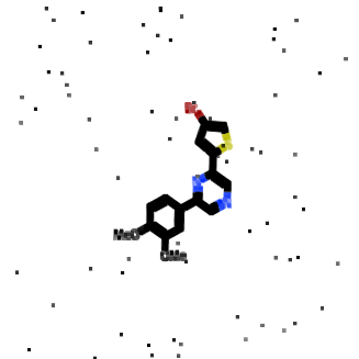 COc1ccc(-c2cncc(-c3cc(Br)cs3)n2)cc1OC